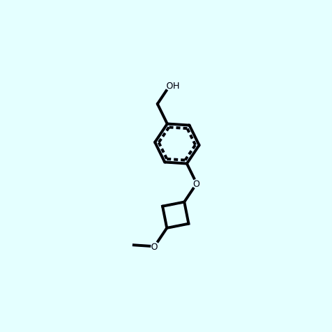 COC1CC(Oc2ccc(CO)cc2)C1